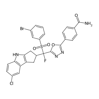 NC(=O)c1ccc(-c2nnc(C(F)(C3Cc4[nH]c5ccc(Cl)cc5c4C3)S(=O)(=O)c3cccc(Br)c3)o2)cc1